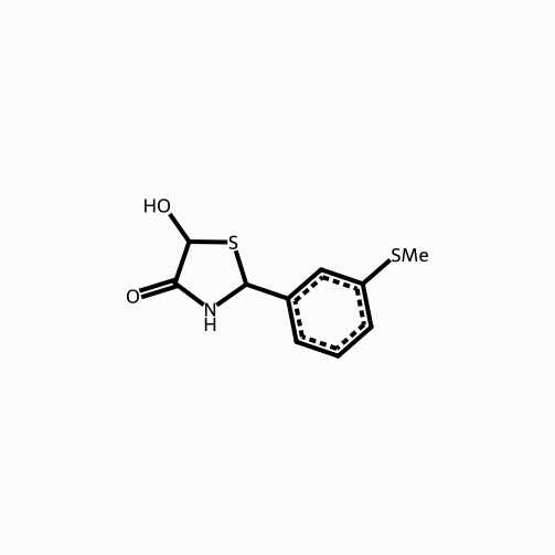 CSc1cccc(C2NC(=O)C(O)S2)c1